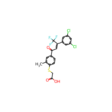 Cc1cc(C(=O)C=C(c2cc(Cl)cc(Cl)c2)C(F)(F)F)ccc1SCC(=O)O